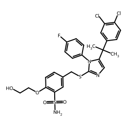 CC(C)(c1ccc(Cl)c(Cl)c1)c1cnc(SCc2ccc(OCCO)c(S(N)(=O)=O)c2)n1-c1ccc(F)cc1